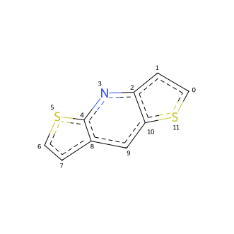 c1cc2nc3sccc3cc2s1